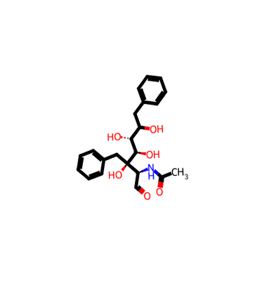 CC(=O)N[C@@H](C=O)[C@](O)(Cc1ccccc1)[C@H](O)[C@H](O)C(O)Cc1ccccc1